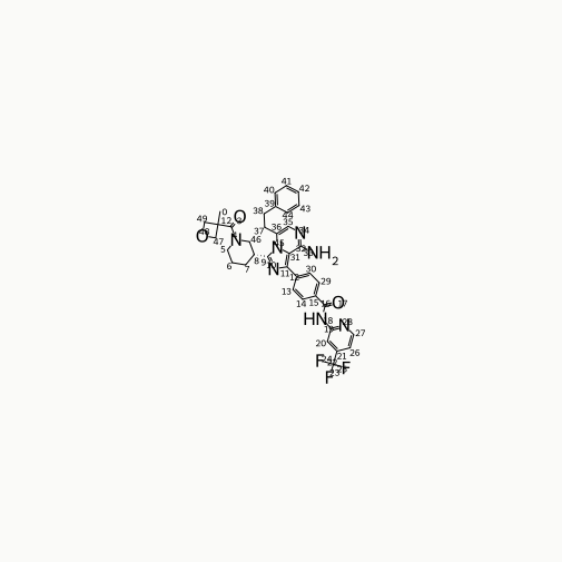 CC1(C(=O)N2CCC[C@@H](c3nc(-c4ccc(C(=O)Nc5cc(C(F)(F)F)ccn5)cc4)c4c(N)ncc(CCc5ccccc5)n34)C2)COC1